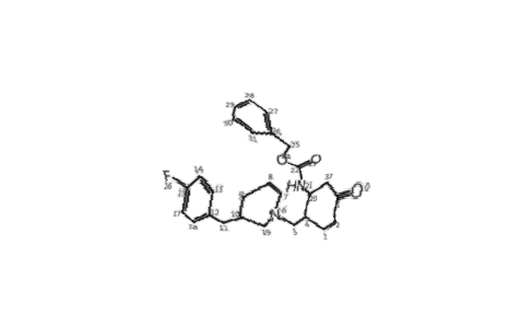 O=C1CCC(CN2CCCC(Cc3ccc(F)cc3)C2)C(NC(=O)OCc2ccccc2)C1